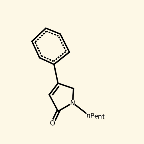 CCCCCN1CC(c2ccccc2)=CC1=O